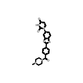 CN1CCN(C(=O)c2ccc(-c3nc4ccc(-n5ccc(=O)[nH]c5=O)cc4s3)cc2)CC1